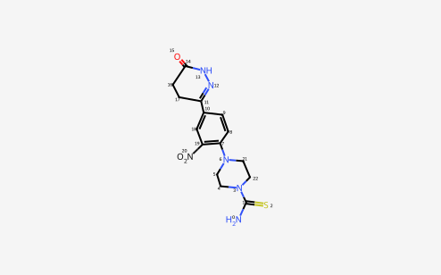 NC(=S)N1CCN(c2ccc(C3=NNC(=O)CC3)cc2[N+](=O)[O-])CC1